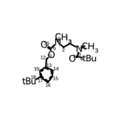 CN(CCN(C)C(=O)C(C)(C)C)C(=O)OCc1cccc(C(C)(C)C)c1